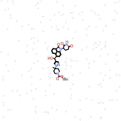 CC(C)(C)OC(=O)N1CCC(C)(n2cc(C(O)c3ccc4c5c(cccc35)C(=O)N4C3CCC(=O)NC3=O)cn2)CC1